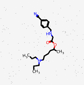 CCCN(CCC)CCCCC(C)OC(=O)CNCc1ccc(C#N)cc1